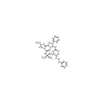 CC(C)CN(CC(=O)OC(C)(C)C)C1CC(CN2CCC(CCCc3ccccc3)CC2)C(c2ccccc2)C1